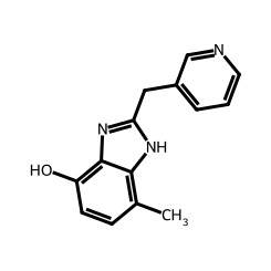 Cc1ccc(O)c2nc(Cc3cccnc3)[nH]c12